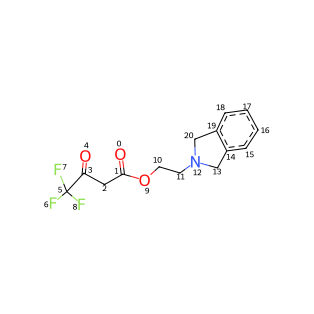 O=C(CC(=O)C(F)(F)F)OCCN1Cc2ccccc2C1